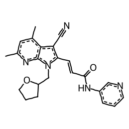 Cc1cc(C)c2c(C#N)c(C=CC(=O)Nc3cccnc3)n(CC3CCCO3)c2n1